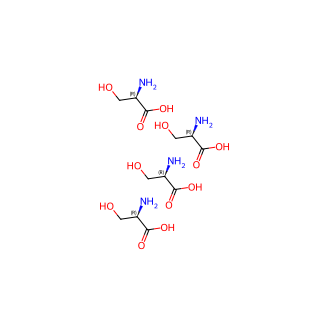 N[C@H](CO)C(=O)O.N[C@H](CO)C(=O)O.N[C@H](CO)C(=O)O.N[C@H](CO)C(=O)O